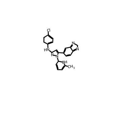 CC1=CC=CC(n2nc(NC3=CC=C(Cl)CC3)cc2-c2ccc3c(c2)=NCN=3)B1